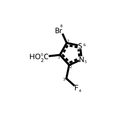 O=C(O)c1c(CF)nsc1Br